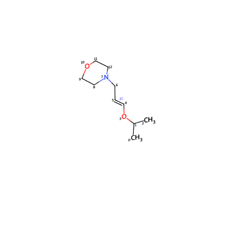 CC(C)O/C=C/CN1CCOCC1